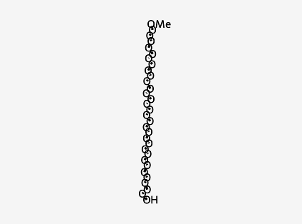 COOOOOOOOOOOOOOOOOOOOOOOOOOOOOOOO